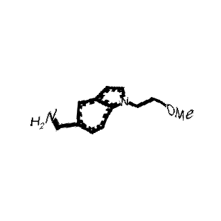 COCCn1ccc2cc(CN)ccc21